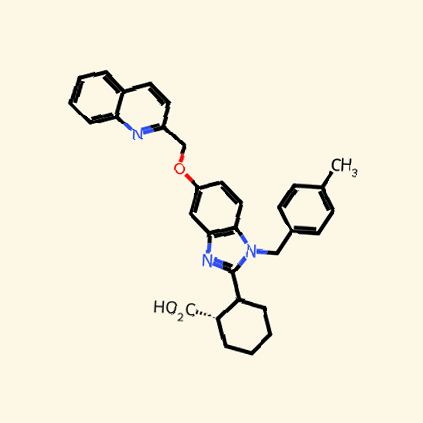 Cc1ccc(Cn2c(C3CCCC[C@@H]3C(=O)O)nc3cc(OCc4ccc5ccccc5n4)ccc32)cc1